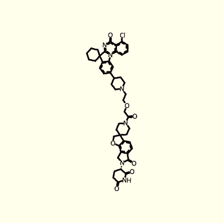 O=C1CC[C@H](N2Cc3c(ccc4c3OCC43CCN(C(=O)COCCN4CCC(c5ccc6c(c5)-n5c(nc(=O)c7c(Cl)cccc75)C65CCCCC5)CC4)CC3)C2=O)C(=O)N1